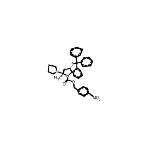 C[C@@]1(N2CCCC2)C[C@H](SC(c2ccccc2)(c2ccccc2)c2ccccc2)CN1C(=O)OCc1ccc([N+](=O)[O-])cc1